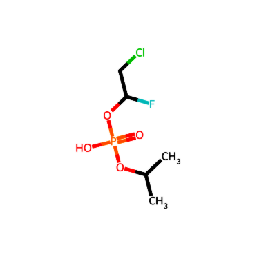 CC(C)OP(=O)(O)OC(F)CCl